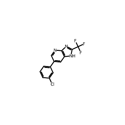 FC(F)(F)c1nc2ncc(-c3cccc(Cl)c3)cc2[nH]1